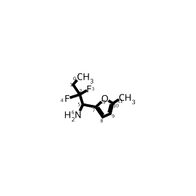 CCC(F)(F)C(N)c1ccc(C)o1